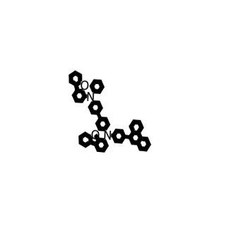 c1ccc(N(c2ccc(-c3ccc(N(c4ccc(-c5cc6ccccc6c6ccccc56)cc4)c4cccc5c4oc4ccccc45)cc3)cc2)c2cccc3c2oc2ccccc23)cc1